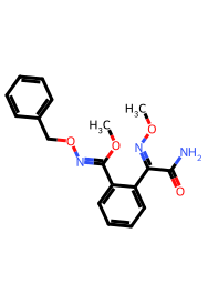 CON=C(C(N)=O)c1ccccc1C(=NOCc1ccccc1)OC